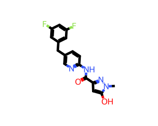 Cn1nc(C(=O)Nc2ccc(Cc3cc(F)cc(F)c3)cn2)cc1O